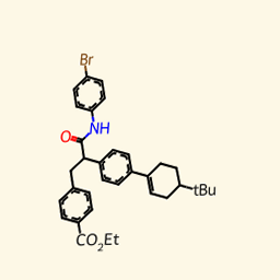 CCOC(=O)c1ccc(CC(C(=O)Nc2ccc(Br)cc2)c2ccc(C3=CCC(C(C)(C)C)CC3)cc2)cc1